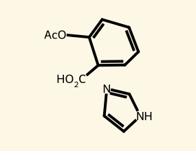 CC(=O)Oc1ccccc1C(=O)O.c1c[nH]cn1